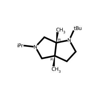 CC(C)N1C[C@@]2(C)CCN(C(C)(C)C)[C@@]2(C)C1